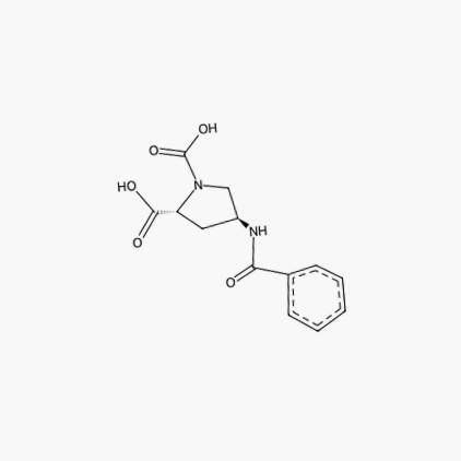 O=C(N[C@H]1C[C@H](C(=O)O)N(C(=O)O)C1)c1ccccc1